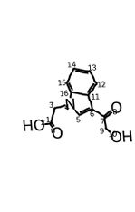 O=C(O)Cn1cc(C(=O)CO)c2ccccc21